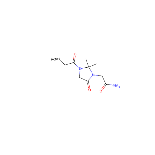 CC(=O)NCC(=O)N1CC(=O)N(CC(N)=O)C1(C)C